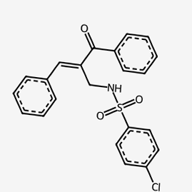 O=C(/C(=C/c1ccccc1)CNS(=O)(=O)c1ccc(Cl)cc1)c1ccccc1